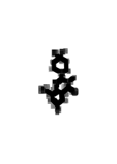 Cn1c(N2CCC(F)(F)CC2)nc2c(Br)cc(F)cc2c1=O